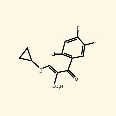 O=C(O)C(=CNC1CC1)C(=O)c1cc(F)c(F)cc1Cl